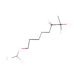 CCC(OCCCCCC(=O)C(C)(O)CC)C(C)=O